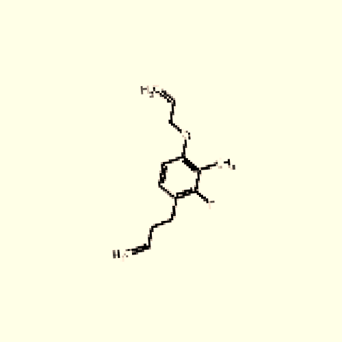 C=CCCc1ccc(OCC=C)c(C)c1F